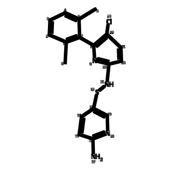 Cc1cccc(C)c1-c1nc(NSc2ccc(N)nc2)ccc1Cl